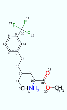 CCC(CCc1cccc(C(F)(F)F)c1)CC(N)C(=O)OC